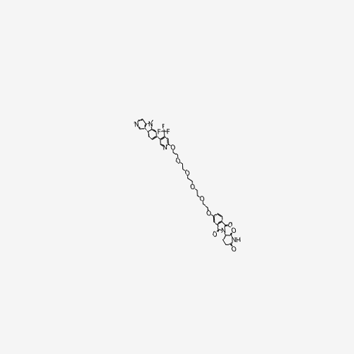 Cn1c2ccncc2c2ccc(-c3cnc(OCCOCCOCCOCCOCCOc4ccc5c(c4)C(=O)N(C4CCC(=O)NC4=O)C5=O)cc3C(F)(F)F)cc21